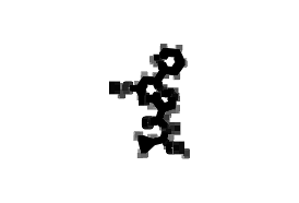 Cc1cc(-c2ccccn2)n2ncc(C(=O)N[C@@H](C)C3CC3)c2n1